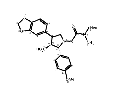 CCCCCCN(C)C(=O)CN1CC(c2ccc3c(c2)OCO3)[C@H](C(=O)O)[C@H]1c1ccc(OC)cc1